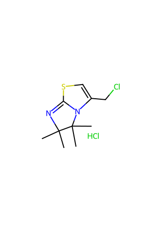 CC1(C)N=C2SC=C(CCl)N2C1(C)C.Cl